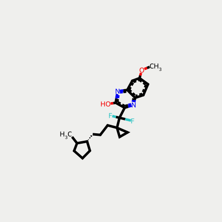 COc1ccc2nc(C(F)(F)C3(CCC[C@@H]4CCCC4C)CC3)c(O)nc2c1